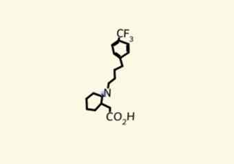 O=C(O)CC1CCCC/C1=N\CCCCc1ccc(C(F)(F)F)cc1